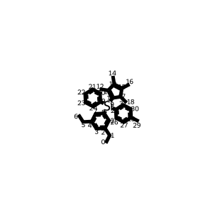 CCc1cc(CC)cc([Si](C2=C(C)C(C)=C(C)C2C)(c2ccccc2)c2ccc(C)cc2)c1